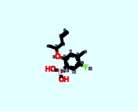 C=CCC(C)Oc1cc(C)c(F)cc1B(O)O